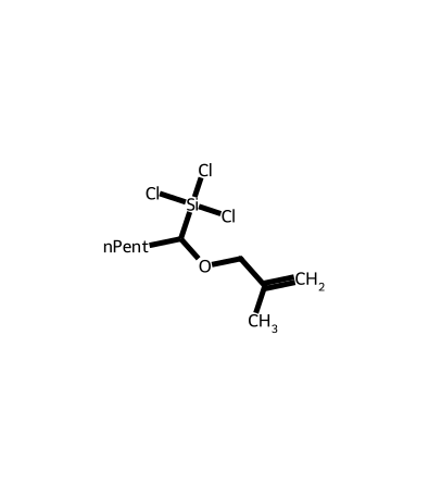 C=C(C)COC(CCCCC)[Si](Cl)(Cl)Cl